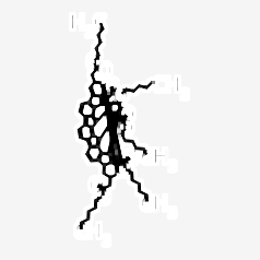 CCCCCCOC(=O)CC1C=C2c3ccc4c5ccc6c7ccc8c9c%10c%11c%12c%13c%14c(c3c4c%13c5c6c%12c97)C2(CC(=O)OCCCCCC)C2=C1C1C(=C2[C@@]%14%11CC(=O)OCCCCCC)C%10(CC(=O)OCCCCCC)C8CC1CC(=O)OCCCCCC